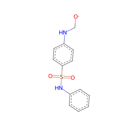 [O]CNc1ccc(S(=O)(=O)Nc2ccccc2)cc1